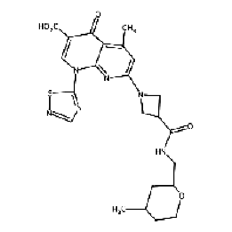 Cc1cc(N2CC(C(=O)NCC3CC(C)CCO3)C2)nc2c1c(=O)c(C(=O)O)cn2-c1ncns1